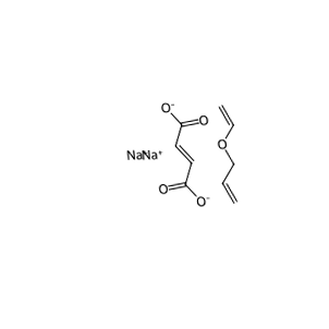 C=CCOC=C.O=C([O-])C=CC(=O)[O-].[Na+].[Na+]